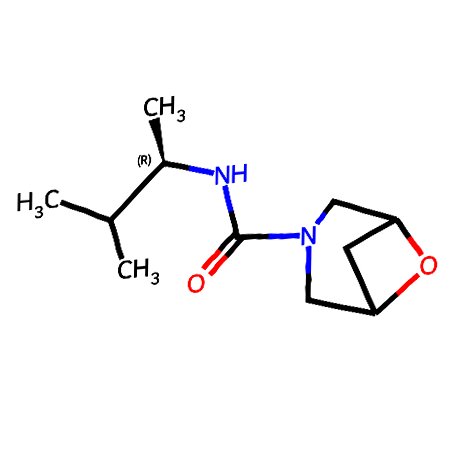 CC(C)[C@@H](C)NC(=O)N1CC2CC(C1)O2